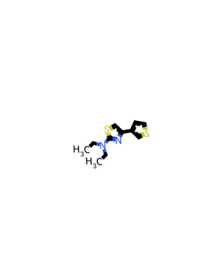 CCN(CC)c1nc(-c2ccsc2)cs1